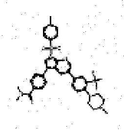 Cc1ccc(S(=O)(=O)n2cc(-c3ccc(C(=O)N(C)C)cc3)c3cc(-c4ccc(N5CCN(C)CC5)c(C(F)(F)F)c4)cnc32)cc1